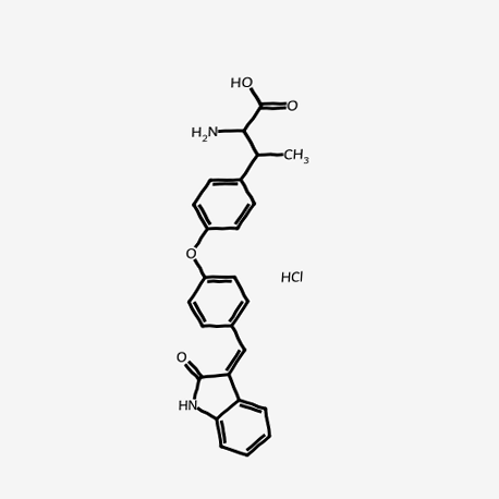 CC(c1ccc(Oc2ccc(C=C3C(=O)Nc4ccccc43)cc2)cc1)C(N)C(=O)O.Cl